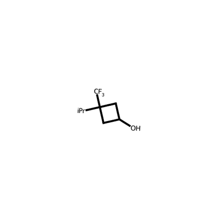 CC(C)C1(C(F)(F)F)CC(O)C1